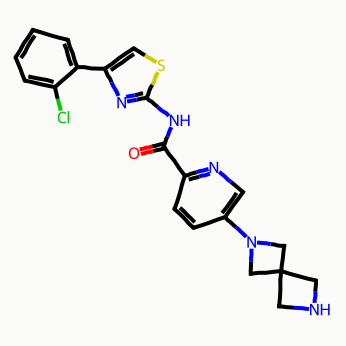 O=C(Nc1nc(-c2ccccc2Cl)cs1)c1ccc(N2CC3(CNC3)C2)cn1